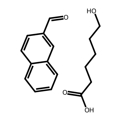 O=C(O)CCCCCO.O=Cc1ccc2ccccc2c1